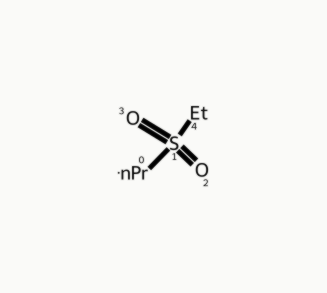 CC[CH]S(=O)(=O)CC